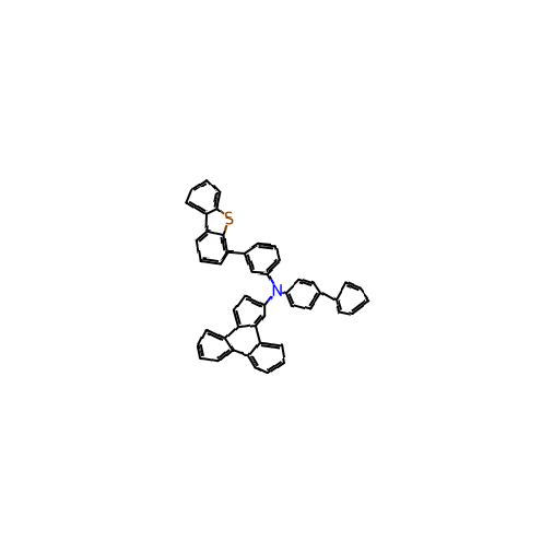 c1ccc(-c2ccc(N(c3cccc(-c4cccc5c4sc4ccccc45)c3)c3ccc4c5ccccc5c5ccccc5c4c3)cc2)cc1